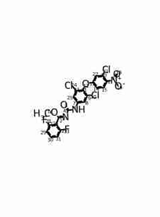 COC(=NC(=O)Nc1cc(Cl)c(Oc2ccc([N+](=O)[O-])c(Cl)c2)c(Cl)c1)c1c(F)cccc1F